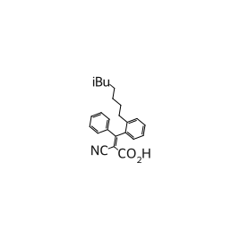 CCC(C)CCCCc1ccccc1C(=C(C#N)C(=O)O)c1ccccc1